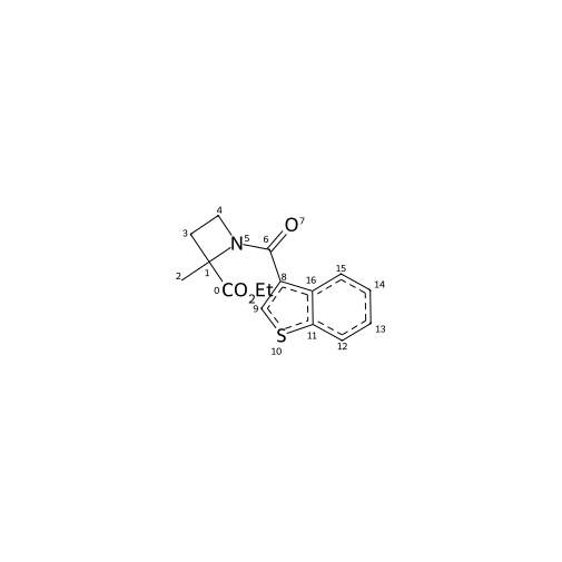 CCOC(=O)C1(C)CCN1C(=O)c1csc2ccccc12